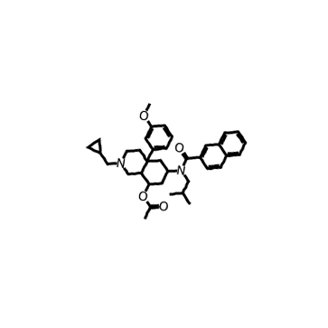 COc1cccc(C23CCN(CC4CC4)CC2C(OC(C)=O)CC(N(CC(C)C)C(=O)c2ccc4ccccc4c2)C3)c1